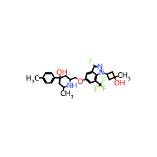 Cc1ccc(C2(O)CC(C)NC(COc3cc(C(F)(F)F)c4c(c3)c(F)nn4C3CC(C)(O)C3)C2)cc1